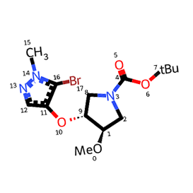 CO[C@@H]1CN(C(=O)OC(C)(C)C)C[C@H]1Oc1cnn(C)c1Br